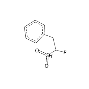 O=[SH](=O)C(F)Cc1ccccc1